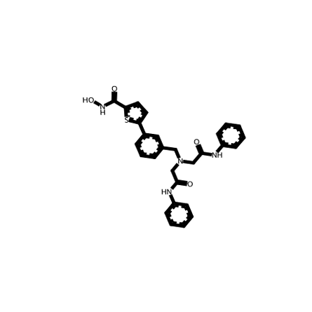 O=C(CN(CC(=O)Nc1ccccc1)Cc1cccc(-c2ccc(C(=O)NO)s2)c1)Nc1ccccc1